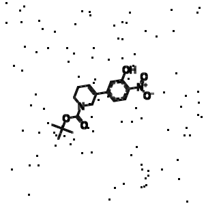 CC(C)(C)OC(=O)N1CCC=C(c2ccc([N+](=O)[O-])c(O)c2)C1